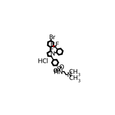 CN(C)CCNS(=O)(=O)c1ccc(-c2ccc(-c3ccc(Br)cc3)n2-c2ccccc2C(F)(F)F)cc1.Cl